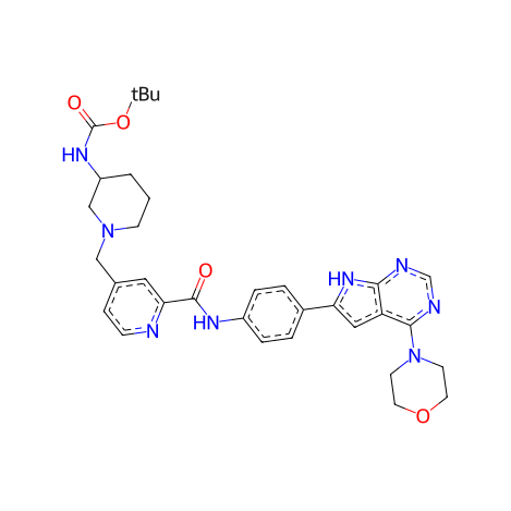 CC(C)(C)OC(=O)NC1CCCN(Cc2ccnc(C(=O)Nc3ccc(-c4cc5c(N6CCOCC6)ncnc5[nH]4)cc3)c2)C1